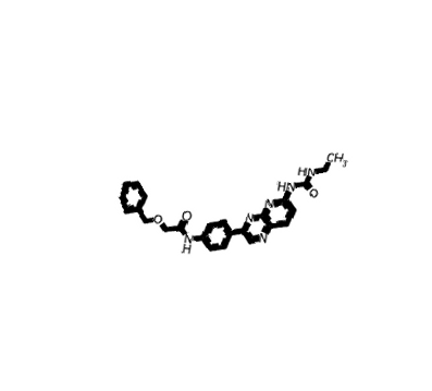 CCNC(=O)Nc1ccc2ncc(-c3ccc(NC(=O)COCc4ccccc4)cc3)nc2n1